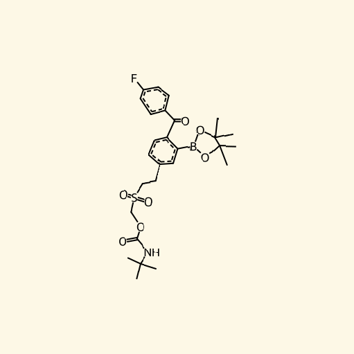 CC(C)(C)NC(=O)OCS(=O)(=O)CCc1ccc(C(=O)c2ccc(F)cc2)c(B2OC(C)(C)C(C)(C)O2)c1